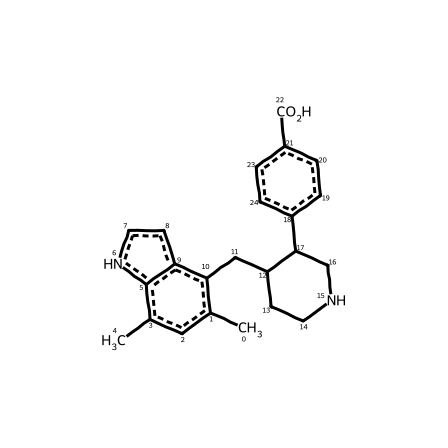 Cc1cc(C)c2[nH]ccc2c1CC1CCNCC1c1ccc(C(=O)O)cc1